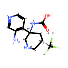 Nc1cnccc1[C@@]1(NC(=O)O)CNC[C@@H](C(F)(F)F)C1